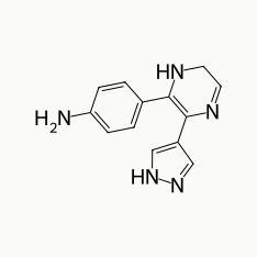 Nc1ccc(C2=C(c3cn[nH]c3)N=CCN2)cc1